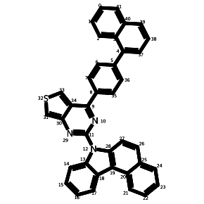 c1ccc2c(-c3ccc(-c4nc(-n5c6ccccc6c6c7ccccc7ccc65)nc5cscc45)cc3)cccc2c1